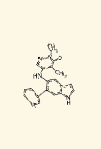 Cc1c(Nc2cc3cc[nH]c3cc2-c2cccnc2)cnn(C)c1=O